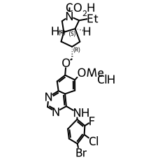 CCC1[C@H]2C[C@H](COc3cc4ncnc(Nc5ccc(Br)c(Cl)c5F)c4cc3OC)C[C@H]2CN1C(=O)O.Cl